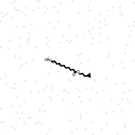 CCCC/C=C/C/C=C/CCCCCC(=O)OCCCC1CC1